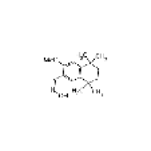 COc1cc2c(cc1/C=N\O)C(C)(C)CCC2(C)C